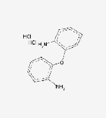 Cl.Cl.Nc1ccccc1Oc1ccccc1N